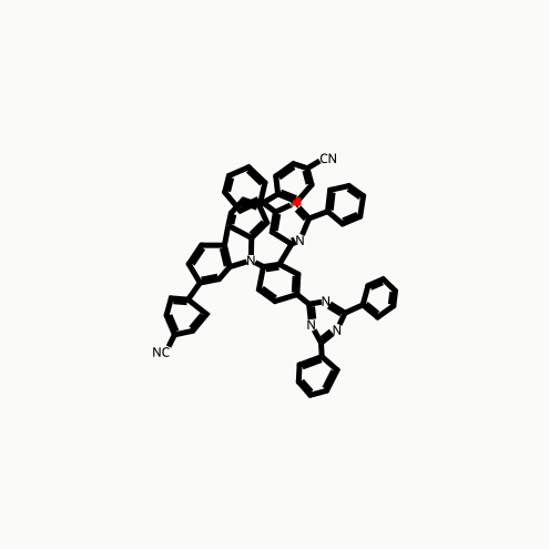 N#Cc1ccc(-c2ccc3c4ccc(-c5ccc(C#N)cc5)cc4n(-c4ccc(-c5nc(-c6ccccc6)nc(-c6ccccc6)n5)cc4-c4cc(-c5ccccc5)nc(-c5ccccc5)n4)c3c2)cc1